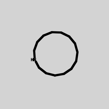 [CH]1CCCCCCCCCCCNCC1